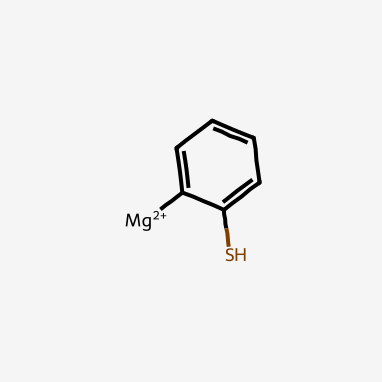 [Mg+2][c]1ccccc1S